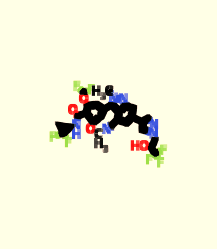 COc1cc(-c2c3c(C#N)cc(-c4cnn(C[C@H](O)C(F)(F)F)c4)cc3nn2C)cc(OC(F)F)c1C(=O)N[C@@H]1CC1(F)F